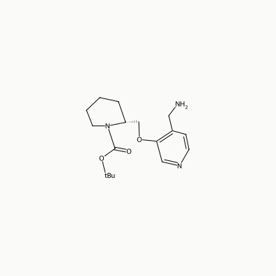 CC(C)(C)OC(=O)N1CCCC[C@@H]1COc1cnccc1CN